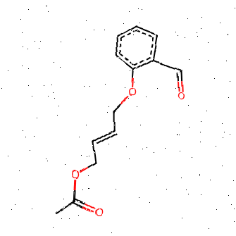 CC(=O)OCC=CCOc1ccccc1C=O